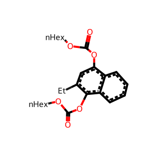 CCCCCCOC(=O)Oc1cc(CC)c(OC(=O)OCCCCCC)c2ccccc12